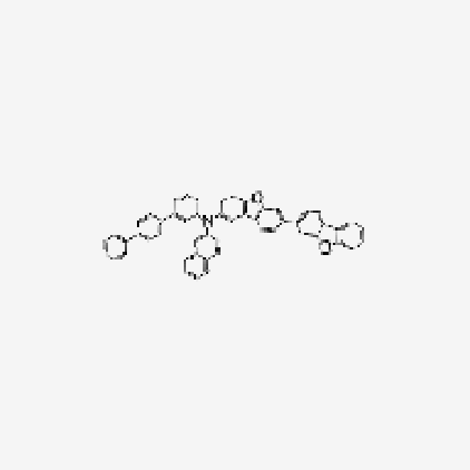 C1=C(N(c2cccc(-c3ccc(-c4ccccc4)cc3)c2)c2ccc3ccccc3c2)CCc2oc3cc(-c4ccc5c(c4)oc4ccccc45)ccc3c21